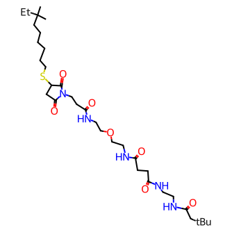 CCC(C)(C)CCCCCCSC1CC(=O)N(CCC(=O)NCCOCCNC(=O)CCC(=O)NCCNC(=O)CC(C)(C)C)C1=O